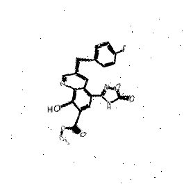 COC(=O)c1cc(-c2noc(=O)[nH]2)c2cc(Cc3ccc(F)cc3)cnc2c1O